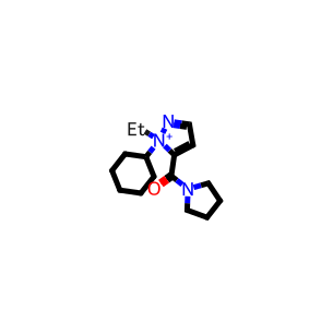 CC[N+]1(C2CCCCC2)N=CC=C1C(=O)N1CCCC1